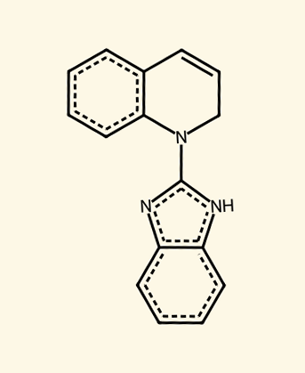 C1=Cc2ccccc2N(c2nc3ccccc3[nH]2)C1